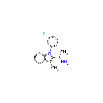 Cc1c(C(C)N)n(-c2cccc(F)c2)c2ccccc12